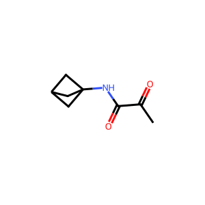 CC(=O)C(=O)NC12CC(C1)C2